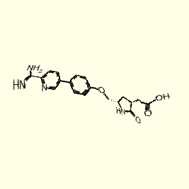 N=C(N)c1ccc(-c2ccc(OC[C@@H]3C[C@@H](CC(=O)O)C(=O)N3)cc2)cn1